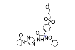 COCCCS(=O)(=O)c1ccc(/C(=N\OC2CCCC2)C(=O)Nc2cnc(N3CCCC3=O)cn2)cc1